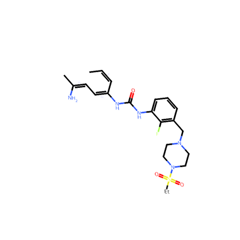 C\C=C/C(=C\C=C(\C)N)NC(=O)Nc1cccc(CN2CCN(S(=O)(=O)CC)CC2)c1F